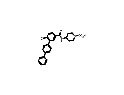 O=C(NC1CCN(C(=O)O)CC1)c1ccc(Cl)c(-c2ccc(-c3ccccc3)cc2)c1